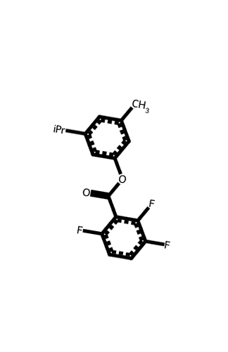 Cc1cc(OC(=O)c2c(F)ccc(F)c2F)cc(C(C)C)c1